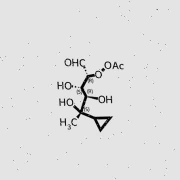 CC(=O)OO[C@@H](C=O)[C@@H](O)[C@@H](O)[C@@](C)(O)C1CC1